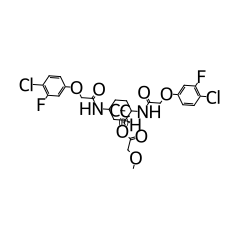 COCC(=O)O[C@@H]1CC2(NC(=O)COc3ccc(Cl)c(F)c3)CCC1(NC(=O)COc1ccc(Cl)c(F)c1)CC2